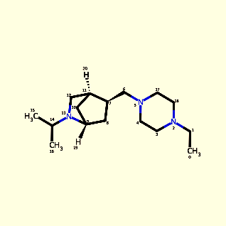 CCN1CCN(C[C@H]2C[C@H]3C[C@H]2CN3C(C)C)CC1